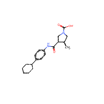 CC1CN(C(=O)O)CC1C(=O)Nc1ccc(C2CCCCC2)cc1